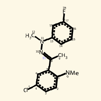 CNc1ccc(Cl)cc1/C(C)=N/N(C)c1cccc(F)c1